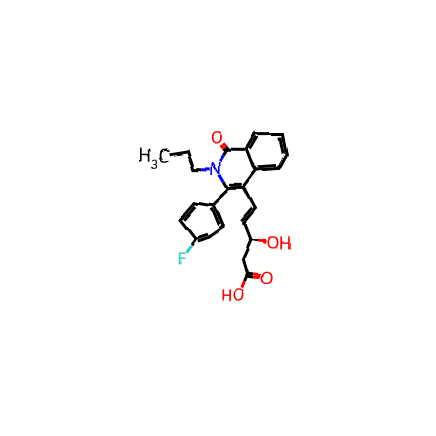 CCCn1c(-c2ccc(F)cc2)c(C=C[C@@H](O)CC(=O)O)c2ccccc2c1=O